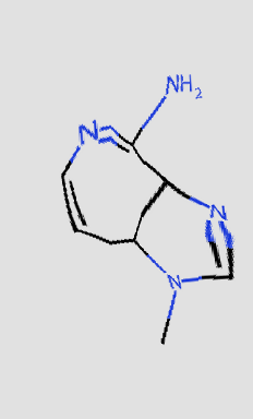 CN1C=NC2C(N)=NC=CC21